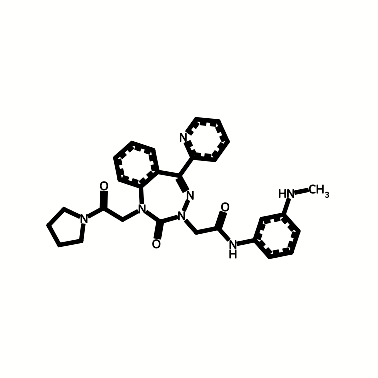 CNc1cccc(NC(=O)CN2N=C(c3ccccn3)c3ccccc3N(CC(=O)N3CCCC3)C2=O)c1